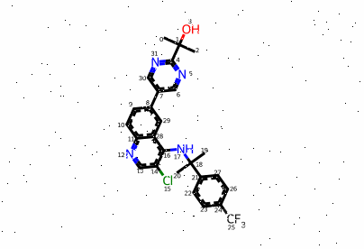 CC(C)(O)c1ncc(-c2ccc3ncc(Cl)c(NC(C)(C)c4ccc(C(F)(F)F)cc4)c3c2)cn1